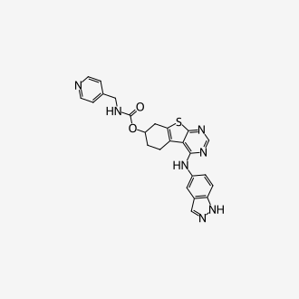 O=C(NCc1ccncc1)OC1CCc2c(sc3ncnc(Nc4ccc5[nH]ncc5c4)c23)C1